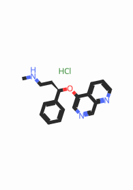 CNCC[C@@H](Oc1cncc2ncccc12)c1ccccc1.Cl